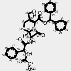 CC(C)(C)OC(=O)NC(C(=O)N[C@@H]1C(=O)N2C(C(=O)OC(c3ccccc3)c3ccccc3)=C(CO)CS[C@H]12)c1ccccc1